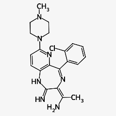 C/C(N)=C1\N=C(c2ccccc2Cl)c2nc(N3CCN(C)CC3)ccc2NC1=N